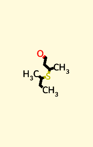 CCC(C)SC(C)CC=O